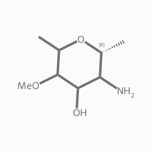 COC1C(C)O[C@H](C)C(N)C1O